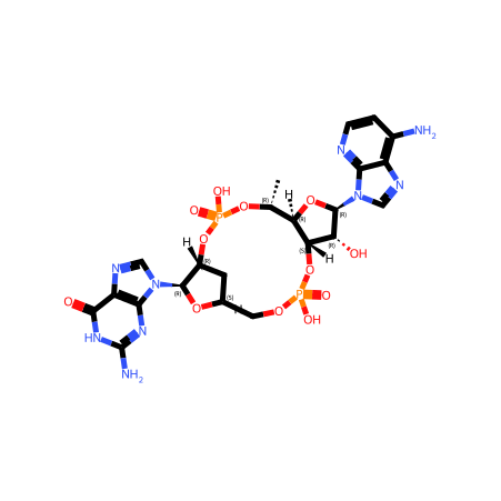 C[C@H]1OP(=O)(O)O[C@@H]2C[C@@H](COP(=O)(O)O[C@H]3[C@@H](O)[C@H](n4cnc5c(N)ccnc54)O[C@@H]31)O[C@H]2n1cnc2c(=O)[nH]c(N)nc21